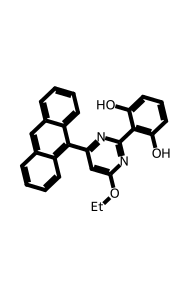 CCOc1cc(-c2c3ccccc3cc3ccccc23)nc(-c2c(O)cccc2O)n1